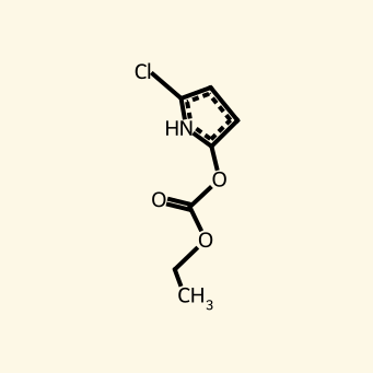 CCOC(=O)Oc1ccc(Cl)[nH]1